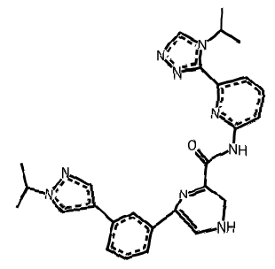 CC(C)n1cc(-c2cccc(C3=CNCC(C(=O)Nc4cccc(-c5nncn5C(C)C)n4)=N3)c2)cn1